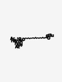 CC(=O)CNc1c(I)c(NCC(C)=O)c(I)c(C(=O)Nc2ccc(CCCCCCCCCCCCCCCCCCC(=O)OC(C)(C)C)cc2)c1I